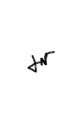 C/C=N/C1(C)CC1